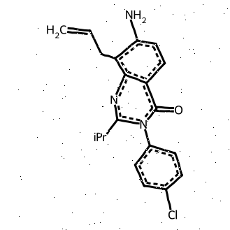 C=CCc1c(N)ccc2c(=O)n(-c3ccc(Cl)cc3)c(C(C)C)nc12